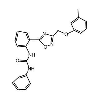 Cc1cccc(OCc2noc(-c3ccccc3NC(=O)Nc3ccccc3)n2)c1